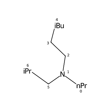 CCCN(CCC(C)CC)CC(C)C